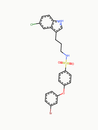 O=S(=O)(NCCCc1c[nH]c2ccc(Cl)cc12)c1ccc(Oc2cccc(Br)c2)cc1